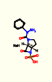 NN(C(=O)N1CC[C@@H]2[C@H]1C(=O)N2S(=O)(=O)O)c1ccccc1.[NaH]